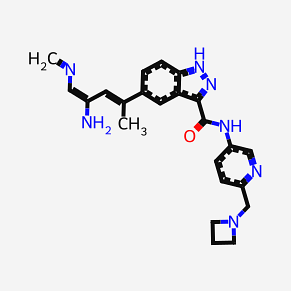 C=N/C=C(N)\C=C(/C)c1ccc2[nH]nc(C(=O)Nc3ccc(CN4CCC4)nc3)c2c1